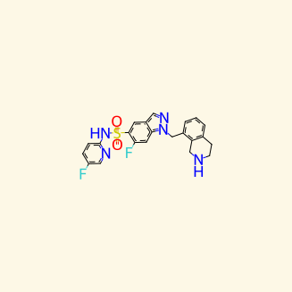 O=S(=O)(Nc1ccc(F)cn1)c1cc2cnn(Cc3cccc4c3CNCC4)c2cc1F